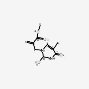 C=C(CN1C=C(C)C(=O)NC1O)C(=O)OC